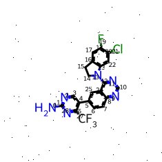 Nc1ncc(-c2ccc3ncnc(N4CCc5cc(F)c(Cl)cc54)c3c2)c(C(F)(F)F)n1